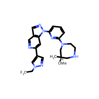 CO[C@]1(C)CNCCN(c2cccc(-n3ncc4cnc(-c5cnn(CC(F)(F)F)c5)cc43)n2)C1